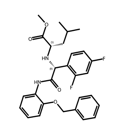 COC(=O)[C@H](CC(C)C)N[C@@H](C(=O)Nc1ccccc1OCc1ccccc1)c1ccc(F)cc1F